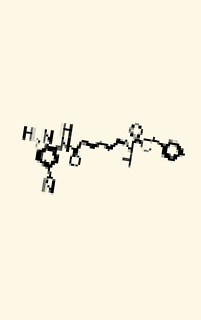 N#Cc1ccc(N)c(NC(=O)CCCCCNC(=O)OCc2ccccc2)c1